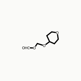 O=COCOC1CCOCC1